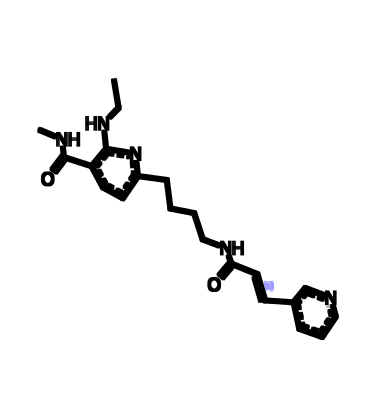 CCNc1nc(CCCCNC(=O)/C=C/c2cccnc2)ccc1C(=O)NC